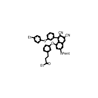 CCCCCc1cc(Oc2cccc(CCC(=O)CC)c2)c2c(-c3cccc(Sc4ccc(CC)cc4)c3)c(C#N)c(C#N)cc2c1